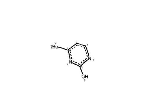 CC(C)(C)c1ccnc(O)n1